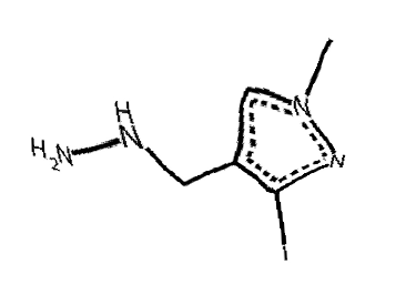 Cn1cc(CNN)c(I)n1